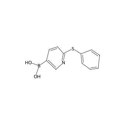 OB(O)c1ccc(Sc2ccccc2)nc1